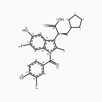 Cc1c([C@H](CC2CCCC2)C(=O)O)c2cc(O)c(F)cc2n1C(=O)c1ccc(Cl)c(F)c1